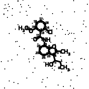 CCC(O)c1c(C)oc2c(NC(=O)c3c(Cl)cccc3OC)cccc12